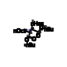 CCCCCCCC/C(C(=O)OCCCC)=C(\CCCCCC)C(=O)OCCCC